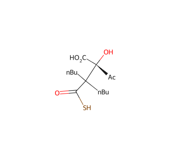 CCCCC(CCCC)(C(=O)S)[C@](O)(C(C)=O)C(=O)O